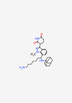 Cn1nc(C2CCC(=O)NC2=O)c2cccc(C(CCCCCCN)NC34CC5CC(CC(C5)C3)C4)c21